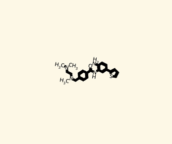 CN(C)CCN(C)Cc1ccc(C(=O)Nc2cc(-c3cccs3)ccc2N)cc1